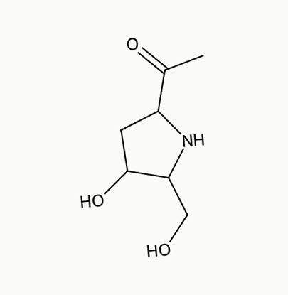 CC(=O)C1CC(O)C(CO)N1